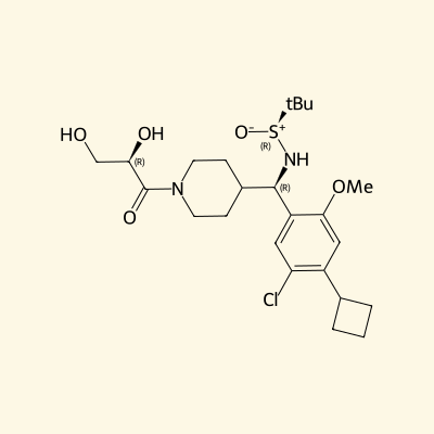 COc1cc(C2CCC2)c(Cl)cc1[C@H](N[S@@+]([O-])C(C)(C)C)C1CCN(C(=O)[C@H](O)CO)CC1